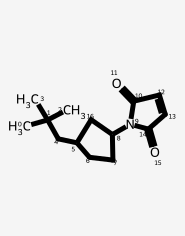 CC(C)(C)CC1CCC(N2C(=O)C=CC2=O)C1